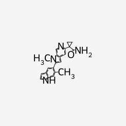 Cc1cc2[nH]ccc2cc1-c1cc2cc(C3(C(N)=O)CC3)ncc2n1C